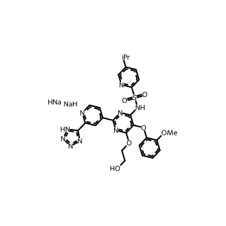 COc1ccccc1Oc1c(NS(=O)(=O)c2ccc(C(C)C)cn2)nc(-c2ccnc(-c3nnn[nH]3)c2)nc1OCCO.[NaH].[NaH]